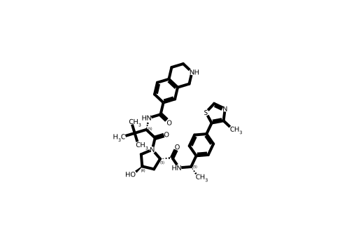 Cc1ncsc1-c1ccc([C@H](C)NC(=O)[C@@H]2C[C@@H](O)CN2C(=O)[C@@H](NC(=O)c2ccc3c(c2)CNCC3)C(C)(C)C)cc1